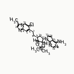 Cc1cnc2cc(CC[C@H]3C[C@@H](n4ccc5c(N)ncnc54)[C@@H]4OC(C)(C)O[C@H]34)c(Cl)cn12